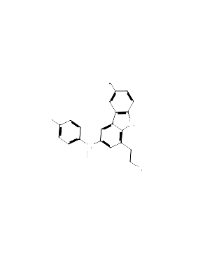 NCCc1cc(Nc2ccc(Cl)cc2)cc2c1[nH]c1ccc(Cl)cc12